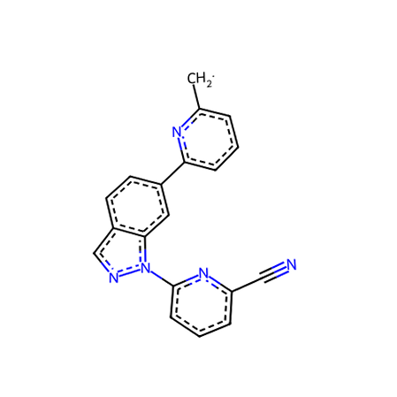 [CH2]c1cccc(-c2ccc3cnn(-c4cccc(C#N)n4)c3c2)n1